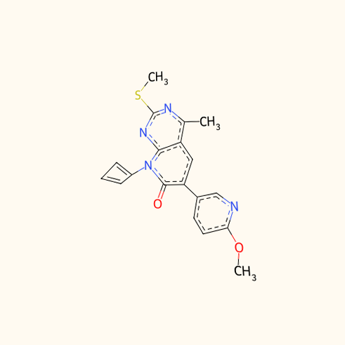 COc1ccc(-c2cc3c(C)nc(SC)nc3n(C3=CC=C3)c2=O)cn1